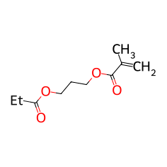 C=C(C)C(=O)OCCCOC(=O)CC